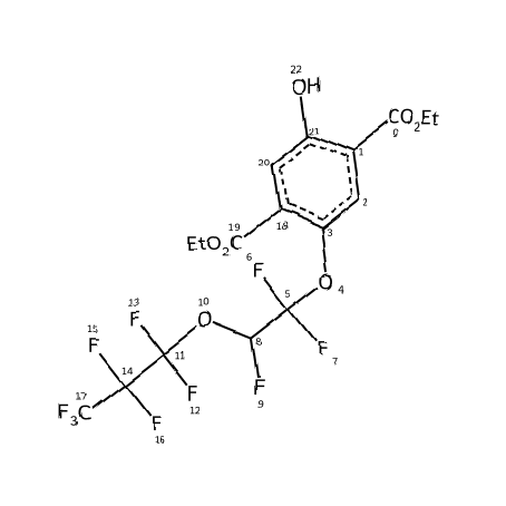 CCOC(=O)c1cc(OC(F)(F)C(F)OC(F)(F)C(F)(F)C(F)(F)F)c(C(=O)OCC)cc1O